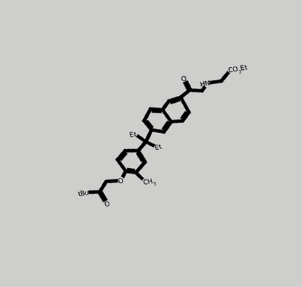 CCOC(=O)CNCC(=O)c1ccc2cc(C(CC)(CC)c3ccc(OCC(=O)C(C)(C)C)c(C)c3)ccc2c1